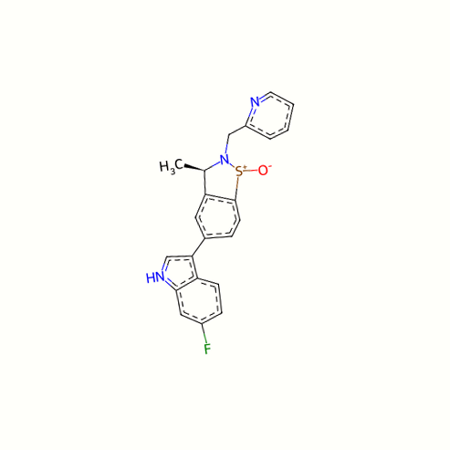 C[C@@H]1c2cc(-c3c[nH]c4cc(F)ccc34)ccc2[S+]([O-])N1Cc1ccccn1